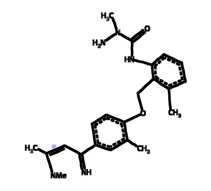 CN/C(C)=C\C(=N)c1ccc(OCc2c(C)cccc2NC(=O)N(C)N)c(C)c1